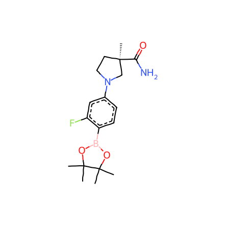 CC1(C)OB(c2ccc(N3CC[C@@](C)(C(N)=O)C3)cc2F)OC1(C)C